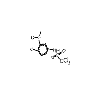 C[S@+]([O-])c1cc(NS(=O)(=O)C(Cl)(Cl)Cl)ccc1Cl